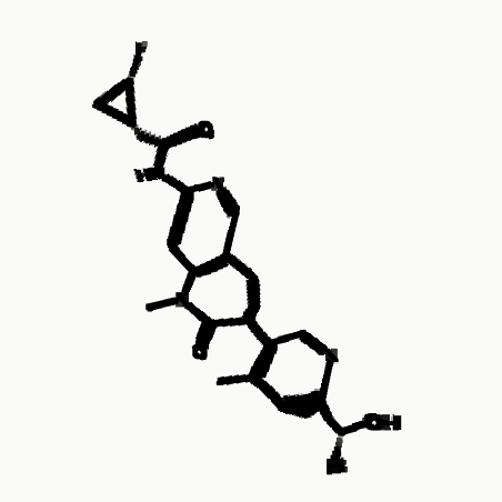 CC[C@@H](O)c1cc(C)c(-c2cc3cnc(NC(=O)[C@@H]4C[C@@H]4F)cc3n(C)c2=O)cn1